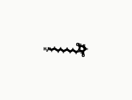 NCCCCCCCCCN1C(=O)C=CC1=O